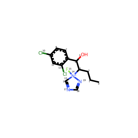 CCCC(C(O)c1ccc(Cl)cc1Cl)[N+]1(F)C=NC=N1